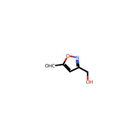 O=Cc1cc(CO)no1